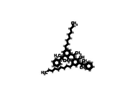 CCCCCCCCCc1cc(C(C)c2cc(CCCCCCCCC)cc(C(C)(C)c3ccccc3)c2O)c(O)c(C(C)(C)c2ccccc2)c1